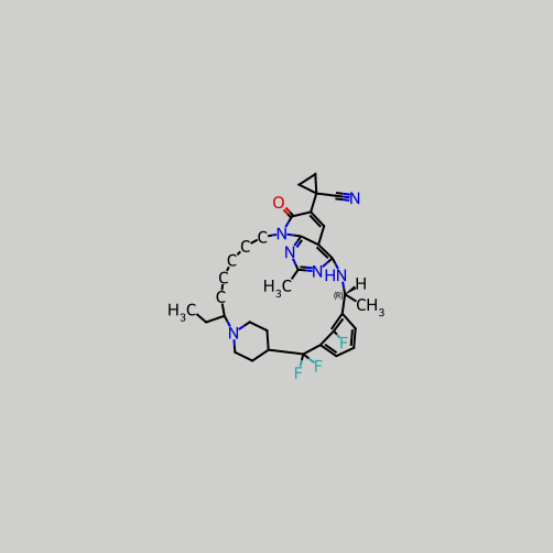 CCC1CCCCCn2c(=O)c(C3(C#N)CC3)cc3c(nc(C)nc32)N[C@H](C)c2cccc(c2F)C(F)(F)C2CCN1CC2